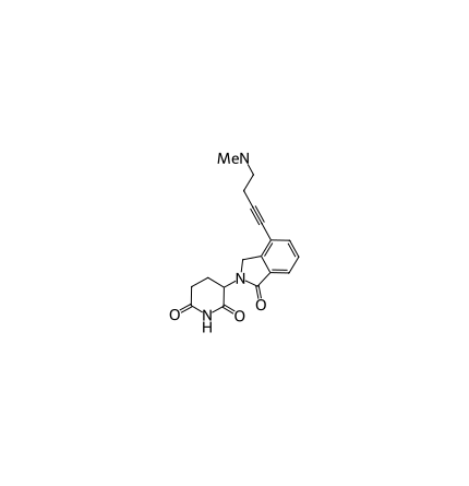 CNCCC#Cc1cccc2c1CN(C1CCC(=O)NC1=O)C2=O